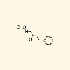 O=C(C=Cc1ccccc1)C=NOCl